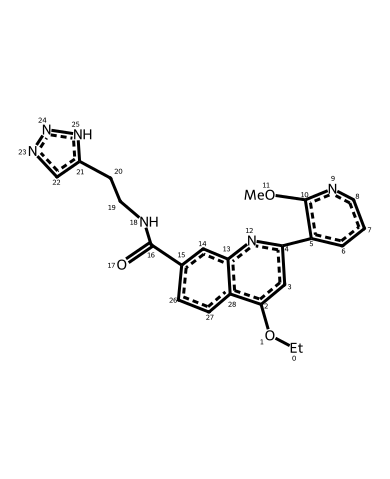 CCOc1cc(-c2cccnc2OC)nc2cc(C(=O)NCCc3cnn[nH]3)ccc12